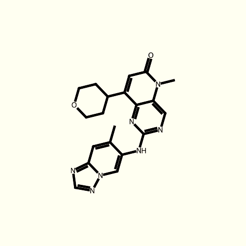 Cc1cc2ncnn2cc1Nc1ncc2c(n1)c(C1CCOCC1)cc(=O)n2C